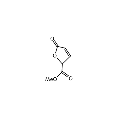 COC(=O)C1C=CC(=O)O1